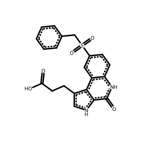 O=C(O)CCc1c[nH]c2c(=O)[nH]c3ccc(S(=O)(=O)Cc4ccccc4)cc3c12